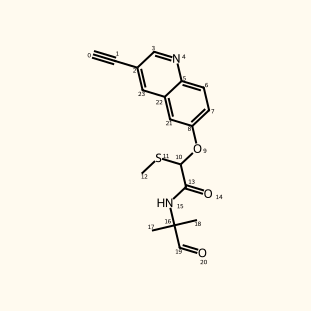 C#Cc1cnc2ccc(OC(SC)C(=O)NC(C)(C)C=O)cc2c1